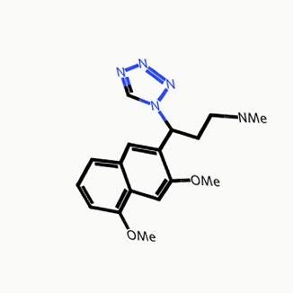 CNCCC(c1cc2cccc(OC)c2cc1OC)n1cnnn1